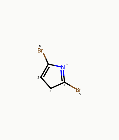 BrC1=CCC(Br)=N1